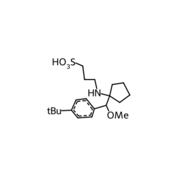 COC(c1ccc(C(C)(C)C)cc1)C1(NCCCS(=O)(=O)O)CCCC1